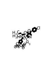 Cc1ncc2c(c1OC(=O)[C@@H](CC(C)C)NC(=O)C1C[C@H](O[N+](=O)[O-])[C@H](O[N+](=O)[O-])C1)CO[C@H]2c1ccc(Cl)cc1